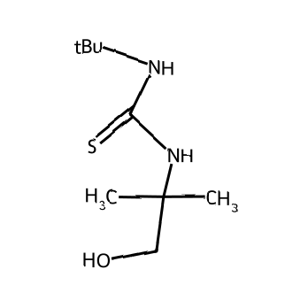 CC(C)(C)NC(=S)NC(C)(C)CO